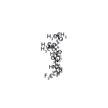 CN(C)C(=O)/C=C/CCC(OC(=O)N(C)C)C(=O)Nc1cccn(Cc2cc3ncc(F)c(CCC(F)(F)F)c3[nH]2)c1=O